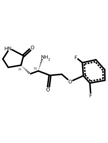 N[C@@H](C[C@@H]1CCNC1=O)C(=O)COc1c(F)cccc1F